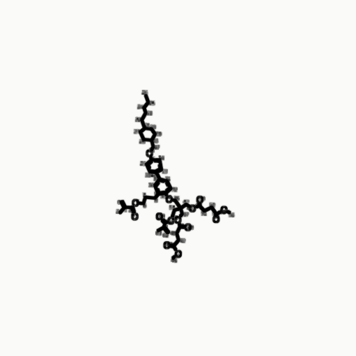 C=C(C)C(=O)OCCCc1cc(-c2ccc(OCC3CCC(CCCCC)CC3)cc2)ccc1OCC(COC(=O)CCC(=O)OC)(COC(=O)CCC(=O)OC)COC(=O)C(=C)C